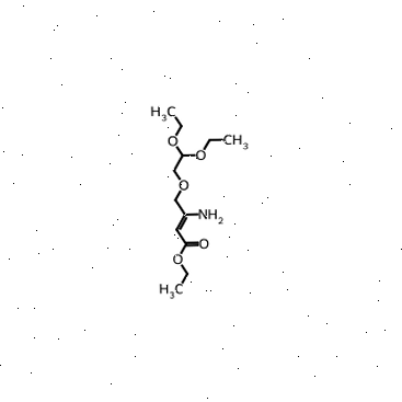 CCOC(=O)/C=C(\N)COCC(OCC)OCC